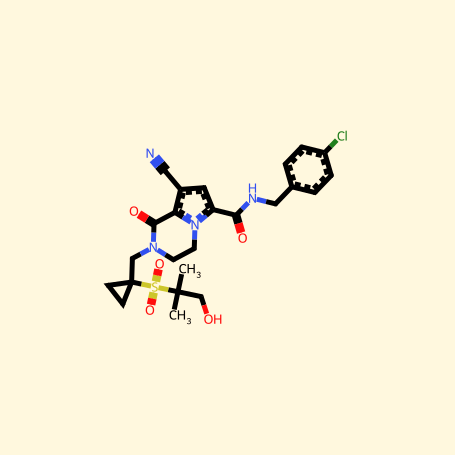 CC(C)(CO)S(=O)(=O)C1(CN2CCn3c(C(=O)NCc4ccc(Cl)cc4)cc(C#N)c3C2=O)CC1